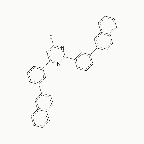 Clc1nc(-c2cccc(-c3ccc4ccccc4c3)c2)nc(-c2cccc(-c3ccc4ccccc4c3)c2)n1